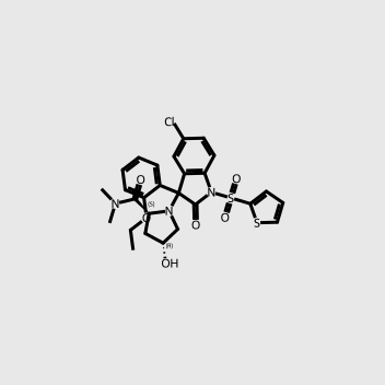 CCOc1ccccc1C1(N2C[C@H](O)C[C@H]2C(=O)N(C)C)C(=O)N(S(=O)(=O)c2cccs2)c2ccc(Cl)cc21